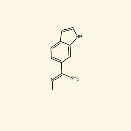 C/N=C(\N)c1ccc2cc[nH]c2c1